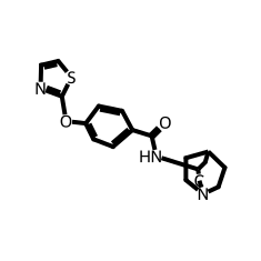 O=C(NC1CC2CCN(CC2)C1)c1ccc(Oc2nccs2)cc1